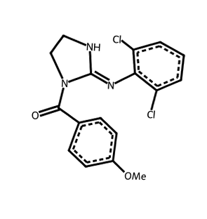 COc1ccc(C(=O)N2CCNC2=Nc2c(Cl)cccc2Cl)cc1